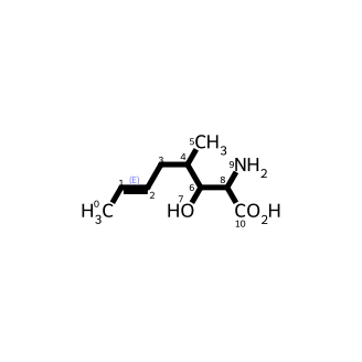 C/C=C/CC(C)C(O)C(N)C(=O)O